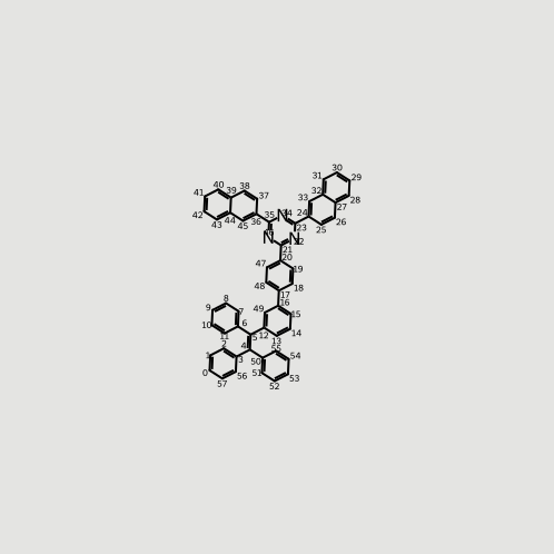 c1ccc(C(=C(c2ccccc2)c2cccc(-c3ccc(-c4nc(-c5ccc6ccccc6c5)nc(-c5ccc6ccccc6c5)n4)cc3)c2)c2ccccc2)cc1